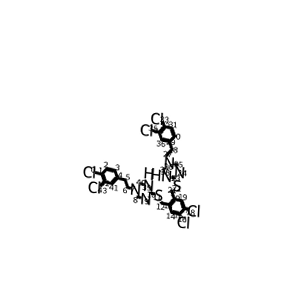 Clc1ccc(CCN2CN=C(SCc3cc(Cl)c(Cl)cc3CSC3=NCN(CCc4ccc(Cl)c(Cl)c4)CN3)NC2)cc1Cl